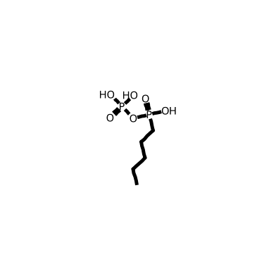 CCCCCP(=O)(O)OP(=O)(O)O